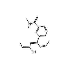 C=C(c1cccc(C(/C=C\C)=C/C(S)=C\C)c1)N(C)C